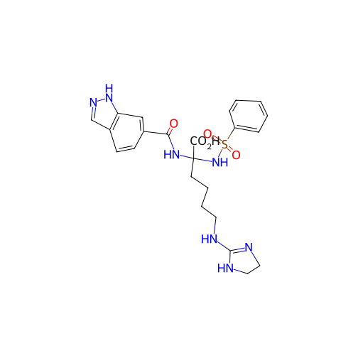 O=C(NC(CCCCNC1=NCCN1)(NS(=O)(=O)c1ccccc1)C(=O)O)c1ccc2cn[nH]c2c1